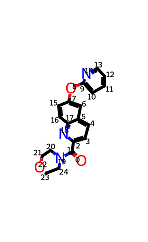 O=C(c1ccc2cc(Oc3ccccn3)ccc2n1)N1CCOCC1